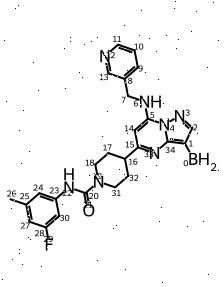 Bc1cnn2c(NCc3cccnc3)cc(C3CCN(C(=O)Nc4cc(C)cc(F)c4)CC3)nc12